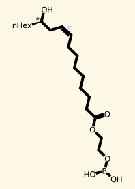 CCCCCC[C@@H](O)C/C=C\CCCCCCCC(=O)OCCOB(O)O